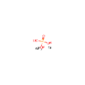 O=P(O)(O)O.[AlH3].[Fe]